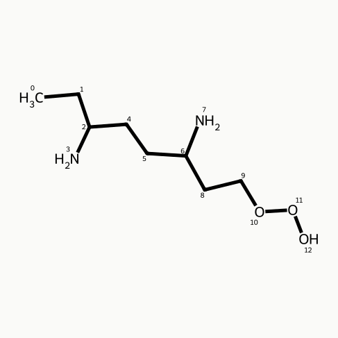 CCC(N)CCC(N)CCOOO